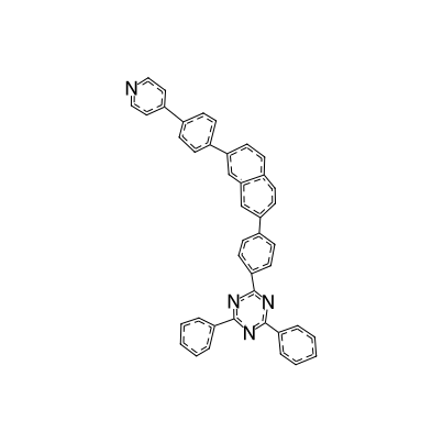 c1ccc(-c2nc(-c3ccccc3)nc(-c3ccc(-c4ccc5ccc(-c6ccc(-c7ccncc7)cc6)cc5c4)cc3)n2)cc1